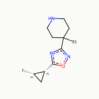 CCC1(c2noc([C@@H]3C[C@@H]3F)n2)CCNCC1